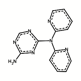 Nc1ncnc(N(c2ccccn2)c2ccccn2)n1